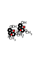 COC1=CC=C2[C@H]3Cc4ccc(O)c5c4[C@@]2(CCN3C)[C@H]1O5.COC1=CC=C2[C@H]3Cc4ccc(OC)c5c4[C@@]2(CCN3C)[C@H]1O5